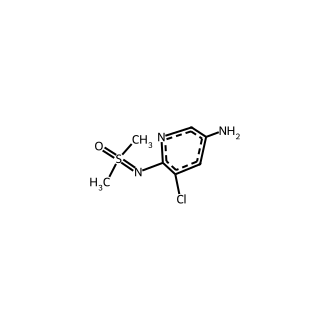 CS(C)(=O)=Nc1ncc(N)cc1Cl